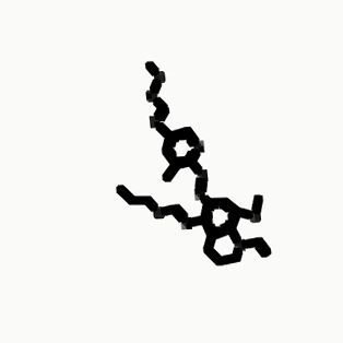 C=CN1CCCc2c(N=COCCC)c(N=Nc3ncc(/N=C/OOC)cc3C)cc(OC)c21